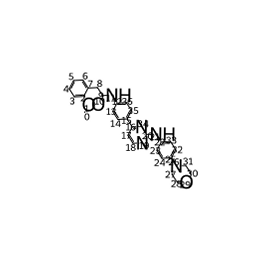 COc1ccccc1CC(=O)Nc1ccc(-c2ccnc(Nc3ccc(N4CCOCC4)cc3)n2)cc1